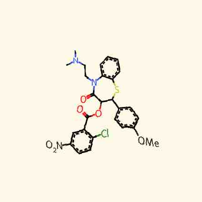 COc1ccc(C2Sc3ccccc3N(CCN(C)C)C(=O)C2OC(=O)c2cc([N+](=O)[O-])ccc2Cl)cc1